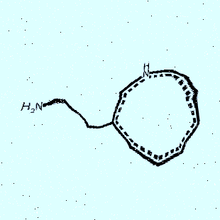 NCCc1cccccc[nH]c1